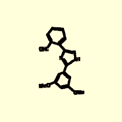 COc1cc(OC)cc(-c2nc(-c3ccccc3C=O)n[nH]2)c1